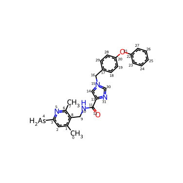 Cc1cc([AsH2])nc(C)c1CNC(=O)c1cn(Cc2ccc(Oc3ccccc3)cc2)cn1